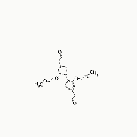 COCCOc1cc(CC=O)ccc1-c1ccc(CC=O)cc1OCCOC